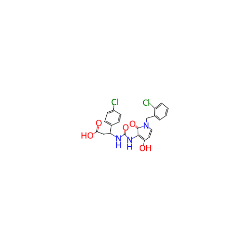 O=C(O)CC(NC(=O)Nc1c(O)ccn(Cc2ccccc2Cl)c1=O)c1ccc(Cl)cc1